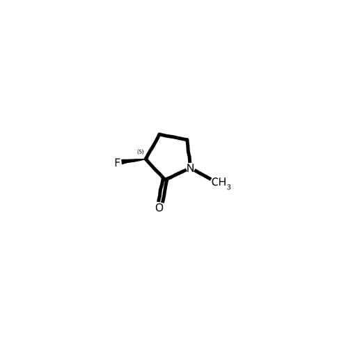 CN1CC[C@H](F)C1=O